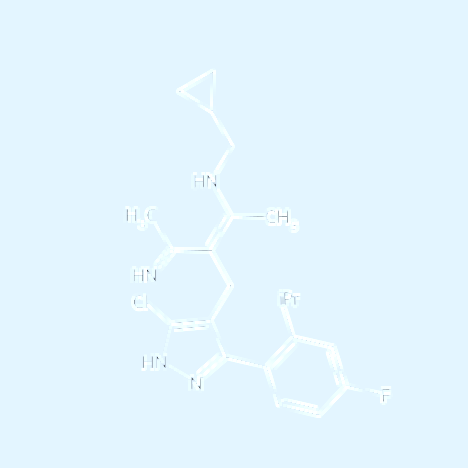 CC(=N)/C(Cc1c(-c2ccc(F)cc2C(C)C)n[nH]c1Cl)=C(/C)NCC1CC1